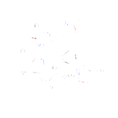 CC[C@H](C)[C@@H]([C@@H](CC(=O)N1CCC[C@H]1[C@H](OC)[C@@H](C)C(=O)N[C@@H](Cc1ccccc1)C(=O)O)OC)N(C)C(=O)[C@@H](NC(=O)[C@H](C(C)C)N(C)CCCCN(C)C(=O)C(C)(C)C)C(C)C